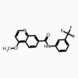 COc1ccnc2cc(C(=O)Nc3cccc(C(F)(F)F)c3)ccc12